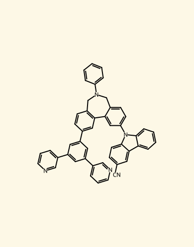 N#Cc1ccc2c(c1)c1ccccc1n2-c1ccc2c(c1)-c1cc(-c3cc(-c4cccnc4)cc(-c4cccnc4)c3)ccc1CN(c1ccccc1)C2